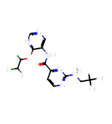 CC(C)(C)CNc1nccc(C(=O)Nc2cncnc2OC(F)C(F)F)n1